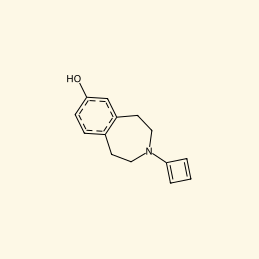 Oc1ccc2c(c1)CCN(C1=CC=C1)CC2